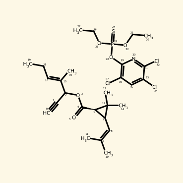 C#CC(OC(=O)[C@@H]1C(C=C(C)C)C1(C)C)/C(C)=C/CC.CCOP(=S)(OCC)Oc1nc(Cl)c(Cl)cc1Cl